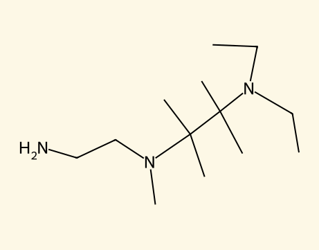 CCN(CC)C(C)(C)C(C)(C)N(C)CCN